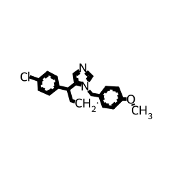 [CH2]CC(c1ccc(Cl)cc1)c1cncn1Cc1ccc(OC)cc1